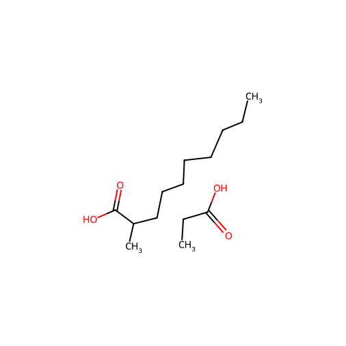 CCC(=O)O.CCCCCCCCC(C)C(=O)O